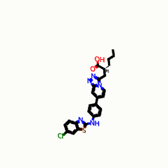 CCCC[C@H](Cc1nnc2cc(-c3ccc(Nc4nc5ccc(Cl)cc5s4)cc3)ccn12)C(=O)O